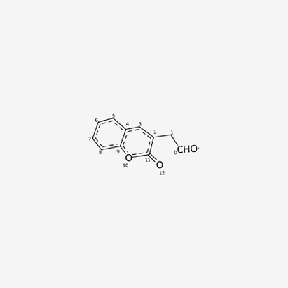 O=[C]Cc1cc2ccccc2oc1=O